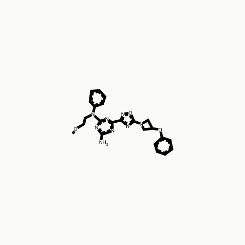 COCCN(c1ccccc1)c1nc(N)nc(-c2noc(N3CC(Oc4ccccc4)C3)n2)n1